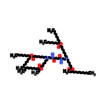 CCCCCCCCCCC(CC)OC(=O)CCCCCN(CCCCCCCC(=O)OC(CCCCCCCC)CCCCCCCC)CCNC(=O)CCC(=O)NCCN(CCCCCCCC(=O)OC(CCCCCCCC)CCCCCCCC)CCCCCC(=O)OC(CC)CCCCCCCCCC